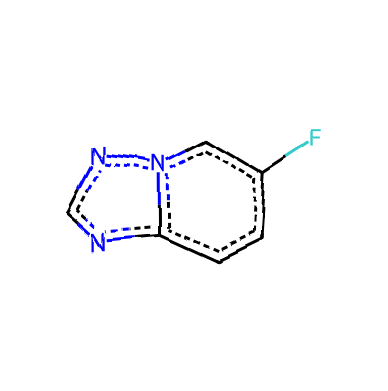 Fc1ccc2ncnn2c1